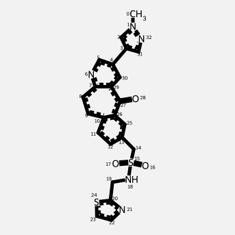 Cn1cc(-c2cnc3ccc4ccc(CS(=O)(=O)NCc5nccs5)cc4c(=O)c3c2)cn1